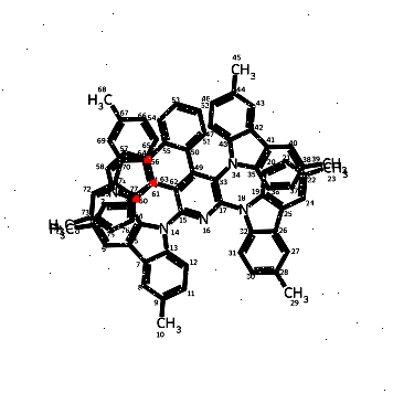 Cc1ccc2c(c1)c1cc(C)ccc1n2-c1nc(-n2c3ccc(C)cc3c3cc(C)ccc32)c(-n2c3ccc(C)cc3c3cc(C)ccc32)c(-c2ccccc2-c2ccncc2)c1-n1c2ccc(C)cc2c2cc(C)ccc21